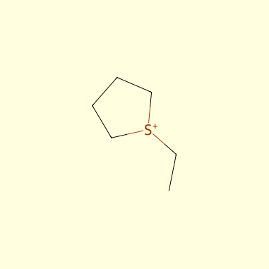 CC[S+]1CCCC1